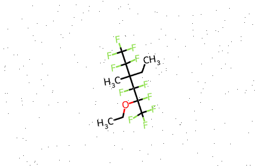 CCOC(F)(C(F)(F)F)C(F)(F)C(C)(CC)C(F)(F)C(F)(F)F